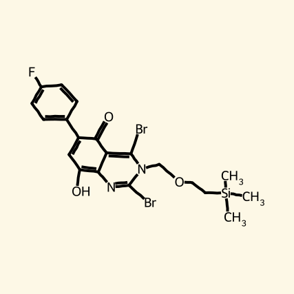 C[Si](C)(C)CCOCn1c(Br)nc2c(O)cc(-c3ccc(F)cc3)c(=O)c-2c1Br